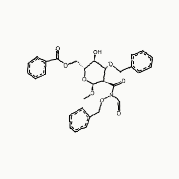 CO[C@H]1O[C@H](COC(=O)c2ccccc2)[C@@H](O)[C@H](OCc2ccccc2)[C@H]1C(=O)N(C=O)OCc1ccccc1